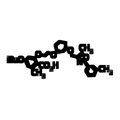 Cc1cccc(-c2nc(CO[C@H]3CCC[C@@H](OCCOc4cc(OCC(C)C)cc(C)c4C(=O)O)C3)c(C)o2)c1